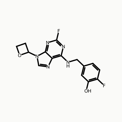 Oc1cc(CNc2nc(F)nc3c2ncn3C2CCO2)ccc1F